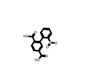 O=C(O)c1ccc(C(=O)O)c(-c2ccccc2[N+](=O)[O-])c1